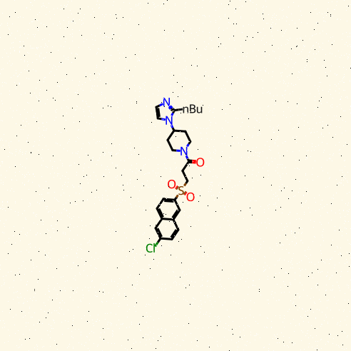 CCCCc1nccn1C1CCN(C(=O)CCS(=O)(=O)c2ccc3cc(Cl)ccc3c2)CC1